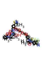 Cc1ncsc1-c1ccc(CNC(=O)[C@@H]2C[C@H](O)CN2C(=O)[C@H](C(C)C)N2Cc3ccccc3C2=O)c(OCCOCCOCCOc2ccc(N3C(=S)N(c4ccc(C#N)c(C(F)(F)F)c4)C(=O)C3(C)C)cc2)c1